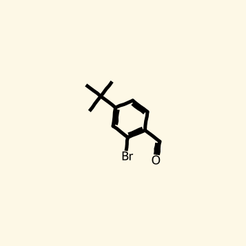 CC(C)(C)c1ccc(C=O)c(Br)c1